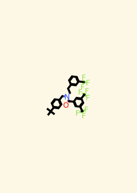 CC(C)(C)c1ccc(CN(CCc2cccc(C(F)(F)F)c2)C(=O)c2cc(C(F)(F)F)cc(C(F)(F)F)c2)cc1